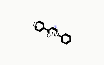 O=C(/C=C\Nc1ccccc1)c1ccncc1